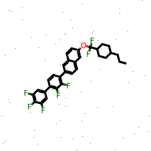 CCCC1CCC(C(F)(F)Oc2ccc3cc(-c4ccc(-c5cc(F)c(F)c(F)c5)c(F)c4F)ccc3c2)CC1